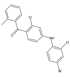 Cc1ccccc1C(=S)c1ccc(Nc2ccc(Br)cc2Cl)cc1Cl